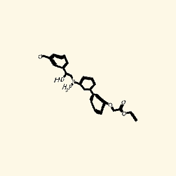 CCOC(=O)COc1cccc(C2CCCC(N(P)CC(O)c3cccc(Cl)c3)C2)c1